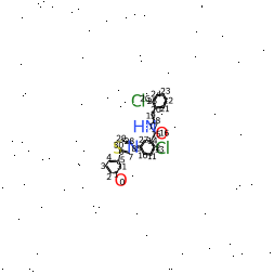 O=C1C=CC=C(C2=CN(c3ccc(Cl)c(C(=O)NCCc4ccccc4Cl)c3)C=CS2)C1